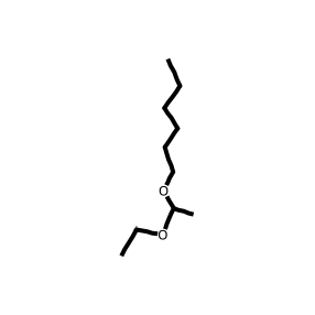 C[CH]OC(C)OCCCCCC